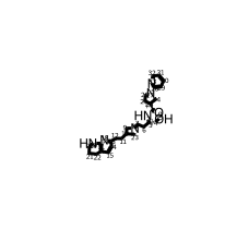 O=C(N[C@H](CO)CCN1CC(CCc2ccc3c(n2)NCCC3)C1)[C@H]1CCN(c2ccccn2)C1